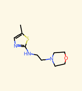 Cc1cnc(NCCN2CCOCC2)s1